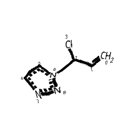 C=CC(Cl)n1ccnn1